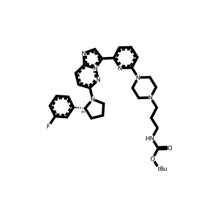 CC(C)(C)OC(=O)NCCCN1CCN(c2cccc(-c3cnc4ccc(N5CCC[C@@H]5c5cccc(F)c5)nn34)n2)CC1